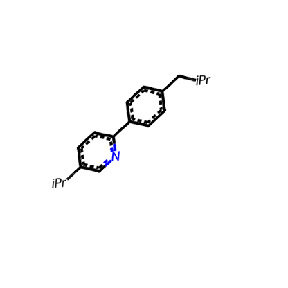 CC(C)Cc1ccc(-c2ccc(C(C)C)cn2)cc1